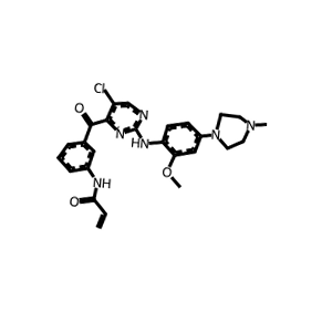 C=CC(=O)Nc1cccc(C(=O)c2nc(Nc3ccc(N4CCN(C)CC4)cc3OC)ncc2Cl)c1